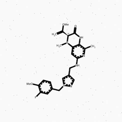 C=C(OC)[C@H]1C(=O)Nc2c(cc(NCc3cnn(Cc4ccc(OC)c(F)c4)c3)nc2C)N1C